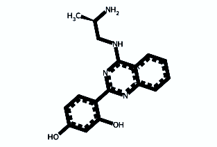 C[C@@H](N)CNc1nc(-c2ccc(O)cc2O)nc2ccccc12